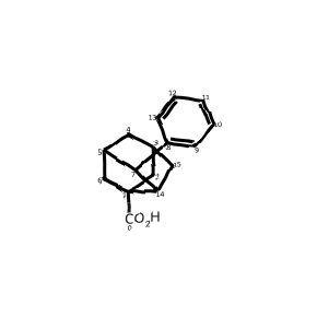 O=C(O)C12CC3CC(C1)C(c1ccccc1)C2C3